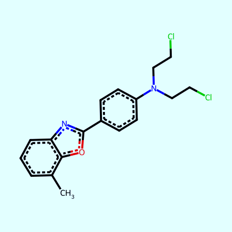 Cc1cccc2nc(-c3ccc(N(CCCl)CCCl)cc3)oc12